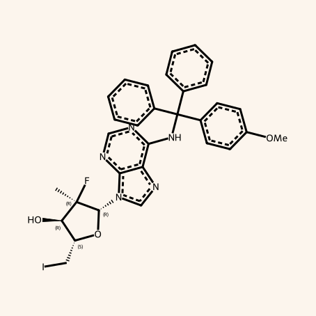 COc1ccc(C(Nc2ncnc3c2ncn3[C@@H]2O[C@H](CI)[C@@H](O)[C@@]2(C)F)(c2ccccc2)c2ccccc2)cc1